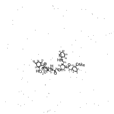 COc1cccc(CC(=O)N2C[C@H](OCC(=O)NC[C@H](NS(=O)(=O)c3c(C)cc(C)cc3C)C(=O)O)C[C@H]2CNc2ccccn2)c1